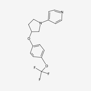 FC(F)(F)Oc1ccc(OC2CCN(c3ccncc3)C2)cc1